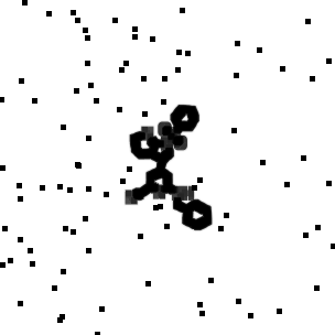 N#Cc1cc(-c2cn(S(=O)(=O)c3ccccc3)c3ncccc23)cc(NCc2ccccc2)n1